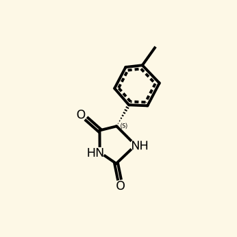 Cc1ccc([C@@H]2NC(=O)NC2=O)cc1